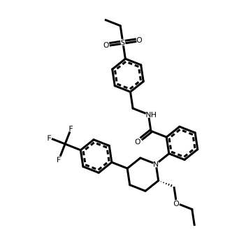 CCOC[C@@H]1CCC(c2ccc(C(F)(F)F)cc2)CN1c1ccccc1C(=O)NCc1ccc(S(=O)(=O)CC)cc1